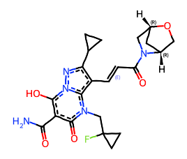 NC(=O)c1c(O)n2nc(C3CC3)c(/C=C/C(=O)N3C[C@H]4C[C@@H]3CO4)c2n(CC2(F)CC2)c1=O